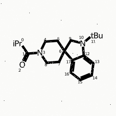 CC(C)C(=O)N1CCC2(CC1)CN(C(C)(C)C)c1ccccc12